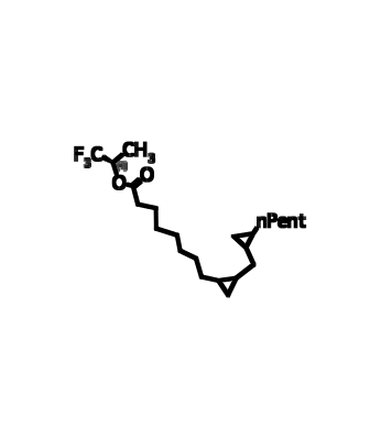 CCCCCC1CC1CC1CC1CCCCCCCC(=O)O[C@H](C)C(F)(F)F